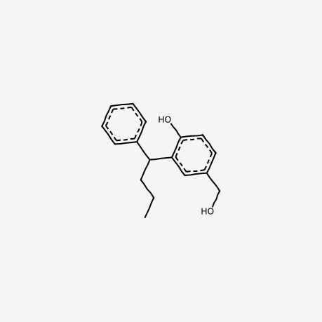 CCCC(c1ccccc1)c1cc(CO)ccc1O